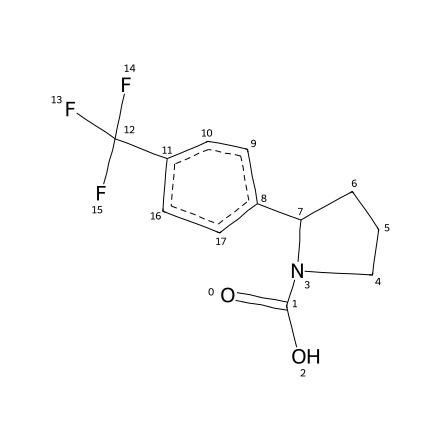 O=C(O)N1CCCC1c1ccc(C(F)(F)F)cc1